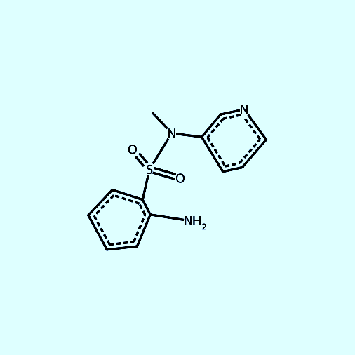 CN(c1cccnc1)S(=O)(=O)c1ccccc1N